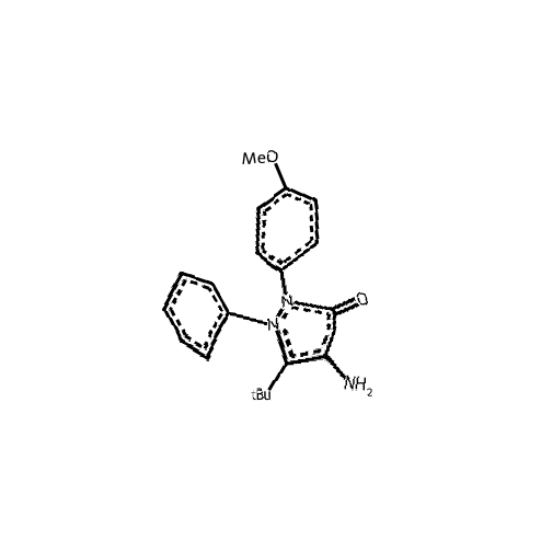 COc1ccc(-n2c(=O)c(N)c(C(C)(C)C)n2-c2ccccc2)cc1